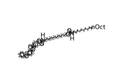 CCCCCCCCC=CCCCCCCCCNC(=O)OCCCCCCCCCCCCNC(=O)OC1CCN(C(=O)Oc2ccc(Oc3ccccc3)cc2)CC1